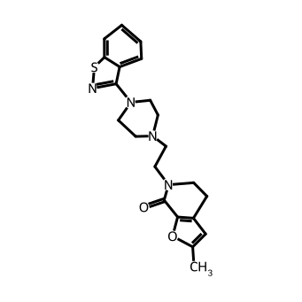 Cc1cc2c(o1)C(=O)N(CCN1CCN(c3nsc4ccccc34)CC1)CC2